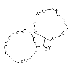 CCC(C1CCCCCCCCCCCCCCCCCC1)C1CCCCCCCCCCCCCCCCCC1